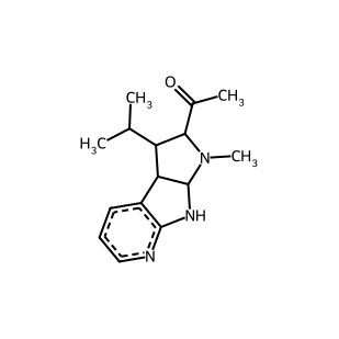 CC(=O)C1C(C(C)C)C2c3cccnc3NC2N1C